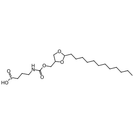 CCCCCCCCCCCCC1OCC(COC(=O)NCCCS(=O)O)O1